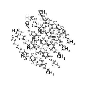 CCCCCCCCc1ccc(-c2ccc(-c3ccc(CCCC)cc3)cc2)cn1.CCCCCCCc1ccc(-c2ccc(-c3ccc(CCCC)cc3)cc2)cn1.CCCCCCc1ccc(-c2ccc(-c3ccc(CCCC)cc3)cc2)cn1.CCCCCc1ccc(-c2ccc(-c3ccc(CCCC)cc3)cc2)cn1.CCCCc1ccc(-c2ccc(-c3ccc(CCCC)nc3)cc2)cc1